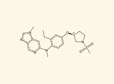 CCc1cc(O[C@H]2CCN(S(C)(=O)=O)C2)ccc1N(C)c1cc2c(cn1)ncn2C